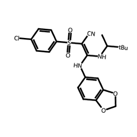 CC(NC(Nc1ccc2c(c1)OCO2)=C(C#N)S(=O)(=O)c1ccc(Cl)cc1)C(C)(C)C